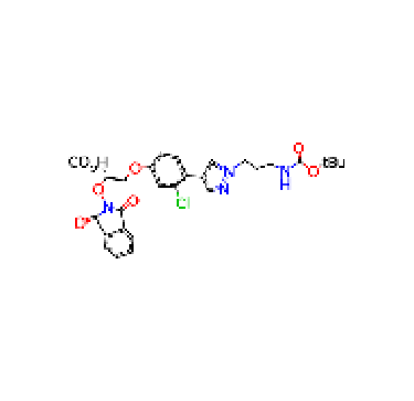 CC(C)(C)OC(=O)NCCCn1cc(-c2ccc(OC[C@H](ON3C(=O)c4ccccc4C3=O)C(=O)O)cc2Cl)cn1